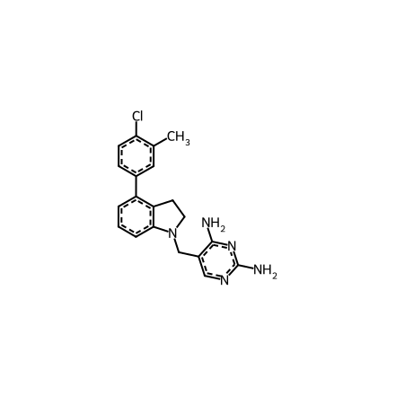 Cc1cc(-c2cccc3c2CCN3Cc2cnc(N)nc2N)ccc1Cl